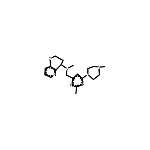 Cc1nc(CN(C)C2CCOc3cccnc32)cc(N2CCN(C)CC2)n1